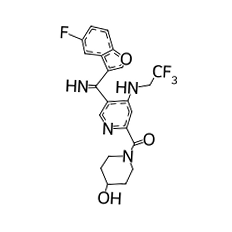 N=C(c1cnc(C(=O)N2CCC(O)CC2)cc1NCC(F)(F)F)c1coc2ccc(F)cc12